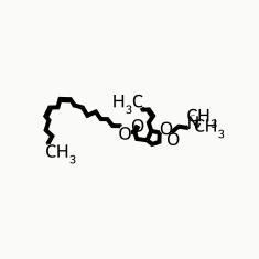 CC/C=C\CC1C(CC(=O)OCCCCCCCC/C=C\C/C=C\CCCCC)CCC1OC(=O)CCN(C)C